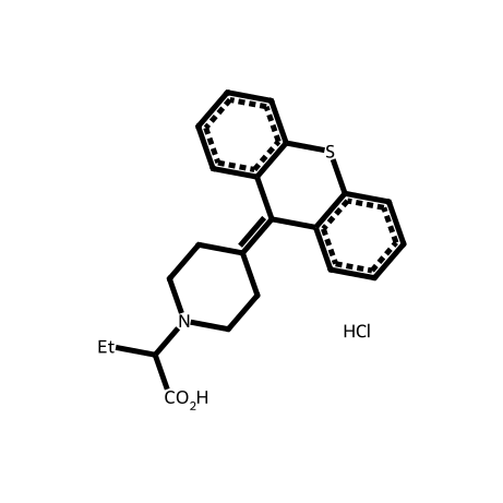 CCC(C(=O)O)N1CCC(=C2c3ccccc3Sc3ccccc32)CC1.Cl